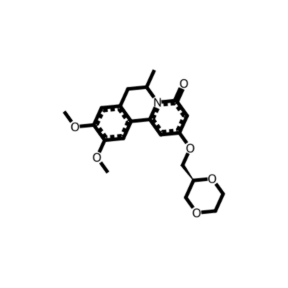 COc1cc2c(cc1OC)-c1cc(OC[C@@H]3COCCO3)cc(=O)n1C(C)C2